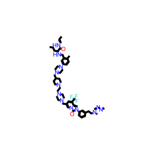 C=N/N=C\N(C)CCc1cccc(-n2cc3c(C(F)(F)F)cc(CN4CCN(CCN5CCC(CN6CCN(c7ccc(C)c(CNC(CCC)C(=O)NC=CC)c7)CC6)CC5)CC4)cn3c2=O)c1